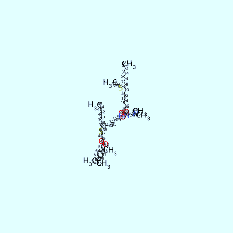 CCCCCCCCCC(CCCCCCCCOP(=O)(NCCN(C)C)OCCCCCCCCC(CCCCCCCCC)SCCCOC(=O)CC(C)c1ccc(C(C)C)cc1)SCCC